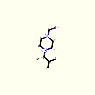 CC(C)[C@H](C)N1CCN(CI)CC1